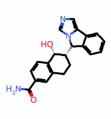 NC(=O)c1ccc2c(c1)CC[C@@H](C1c3ccccc3-c3cncn31)[C@H]2O